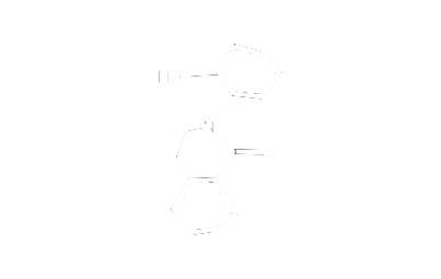 Cc1ccccc1N1CCc2ccccc2C1=S